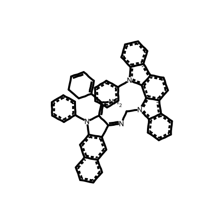 N/C(C1=CC=CCC1)=C1\C(=N/Cn2c3ccccc3c3ccc4c5ccccc5n(-c5ccccc5)c4c32)c2cc3ccccc3cc2N1c1ccccc1